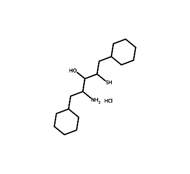 Cl.NC(CC1CCCCC1)C(O)C(S)CC1CCCCC1